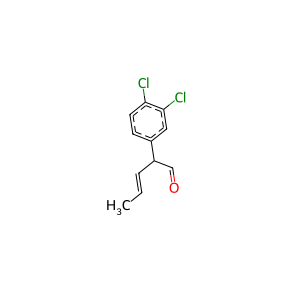 CC=CC(C=O)c1ccc(Cl)c(Cl)c1